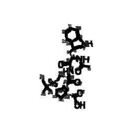 CC(=O)N[C@@H](Cc1c[nH]c2ccccc12)C(=O)N[C@@H](CSSC(C)(C)C)C(=O)N1CCC[C@H]1C(=O)O